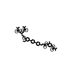 C=C(C)C(=O)OCC(CCOc1ccc(-c2ccc(-c3ccc(/C=C/C(=O)Oc4ccc(OC(=O)C(=C)C)cc4C)cc3)cc2)cc1CC)COC(=O)C(=C)C